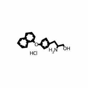 Cl.NC(CO)Cc1ccc(Oc2cccc3ccccc23)cc1